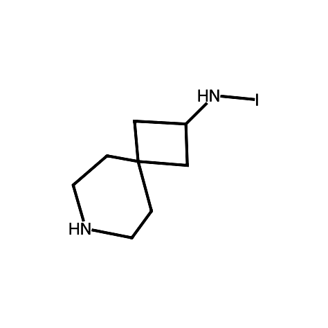 INC1CC2(CCNCC2)C1